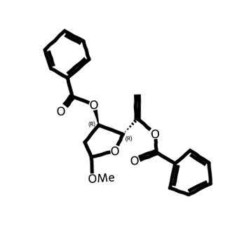 C=C(OC(=O)c1ccccc1)[C@@H]1OC(OC)C[C@H]1OC(=O)c1ccccc1